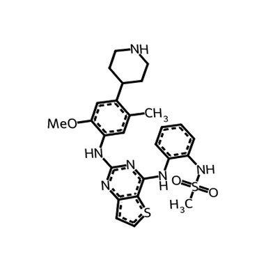 COc1cc(C2CCNCC2)c(C)cc1Nc1nc(Nc2ccccc2NS(C)(=O)=O)c2sccc2n1